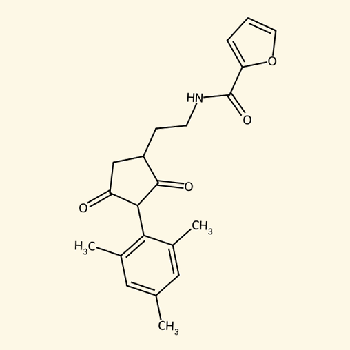 Cc1cc(C)c(C2C(=O)CC(CCNC(=O)c3ccco3)C2=O)c(C)c1